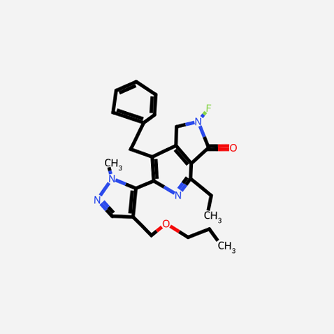 CCCOCc1cnn(C)c1-c1nc(CC)c2c(c1Cc1ccccc1)CN(F)C2=O